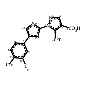 CCCc1c(C(=O)O)cnn1-c1nc(-c2ccc(Cl)c(Cl)c2)cs1